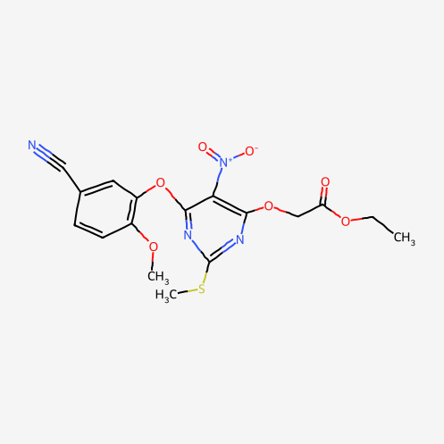 CCOC(=O)COc1nc(SC)nc(Oc2cc(C#N)ccc2OC)c1[N+](=O)[O-]